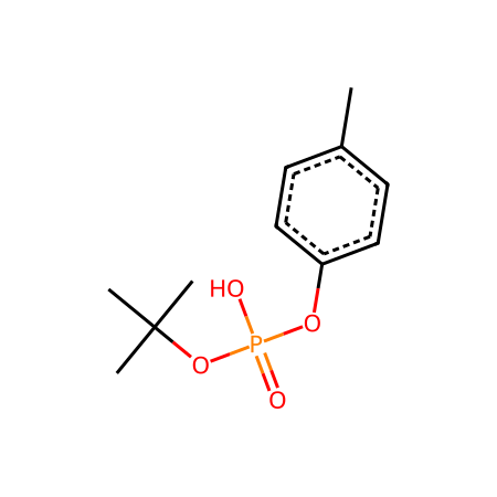 Cc1ccc(OP(=O)(O)OC(C)(C)C)cc1